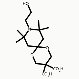 CC1(C)CC2(CC(C)(C)N1CCO)OCC(C(=O)O)(C(=O)O)CO2